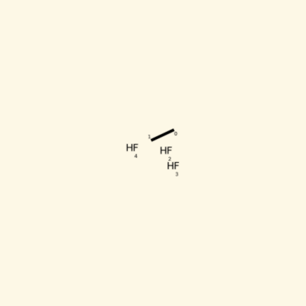 CC.F.F.F